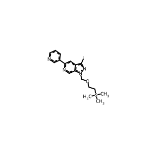 CS(C)(C)CCOCn1nc(I)c2cc(-c3cccnc3)ncc21